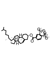 CC(C)CCC[C@@H](C)[C@H]1CC[C@H]2[C@@H]3CC=C4C[C@@H](OC(=O)c5ccc([N+](=O)[O-])c([N+](=O)[O-])c5)CC[C@]4(C)[C@H]3CC[C@]12C